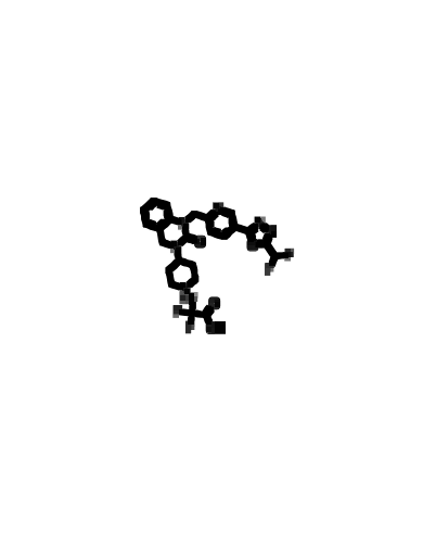 O=C(O)C(F)(F)F.O=C1N(Cc2ccc(-c3nnc(C(F)F)o3)cn2)c2ccccc2CN1C1CCNCC1